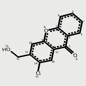 O=c1c2ccccc2oc2cc(CO)c(Cl)cc12